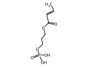 CC=CC(=O)OCCCOP(=O)(O)O